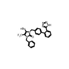 CCCCc1c(C(F)(F)F)n(Cc2ccccc2)c(=O)n1Cc1ccc(-c2ccccc2-c2nnn[nH]2)cc1